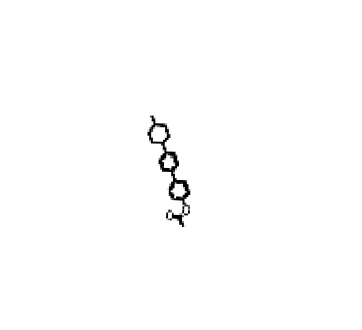 CC(=O)Oc1ccc(-c2ccc(C3CCC(C)CC3)cc2)cc1